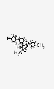 Cc1ccc(OCc2ccc(-c3ccc(F)cc3F)cc2C(=O)NC(N)=O)cc1